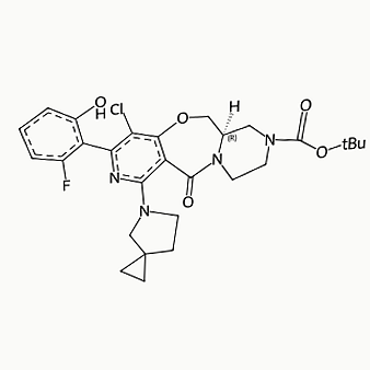 CC(C)(C)OC(=O)N1CCN2C(=O)c3c(N4CCC5(CC5)C4)nc(-c4c(O)cccc4F)c(Cl)c3OC[C@H]2C1